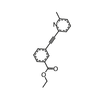 CCOC(=O)c1cccc(C#Cc2cccc(C)n2)c1